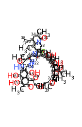 CO[C@H]1/C=C/O[C@@]2(C)Oc3c(C)c(O)c4c(O)c(c(/C=N/N5CCN(c6c(F)cn7c(=O)c(C)cc(C8CC8)c7c6C)CC5)c(O)c4c3C2=O)NC(=O)/C(C)=C\C=C\[C@H](C)[C@H](O)[C@@H](C)[C@@H](O)[C@@H](C)[C@H](OC(C)=O)[C@@H]1C